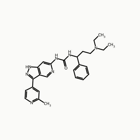 CCN(CC)CCC(NC(=O)Nc1cc2[nH]nc(-c3ccnc(C)c3)c2cn1)c1ccccc1